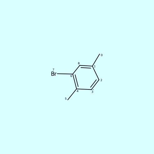 Cc1c[c]c(C)c(Br)c1